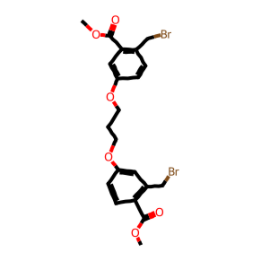 COC(=O)c1ccc(OCCCOc2ccc(CBr)c(C(=O)OC)c2)cc1CBr